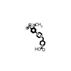 COc1cc(N2CCN(CC3CCN(C(=O)O)CC3)CC2)ccc1[N+](=O)[O-]